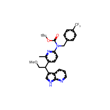 COCC(c1ccc(N(Cc2ccc(C(F)(F)F)cc2)C(=O)OC(C)(C)C)nc1C)c1c[nH]c2ncccc12